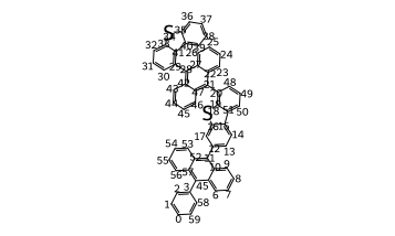 c1ccc(-c2c3ccccc3c(-c3ccc4c(c3)sc3c(-c5c6ccccc6c(-c6cccc7sc8ccccc8c67)c6ccccc56)cccc34)c3ccccc23)cc1